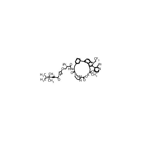 CC(C)c1ncccc1-c1c2c3cc(ccc3n1CC(F)(F)F)-c1cccc(c1)C[C@H](NC(=O)[C@@H](COC1CN(C(=O)C#CC(C)(C)N(C)C)C1)C(C)C)C(=O)N1CCC[C@H](N1)C(=O)OCC(C)(C)C2